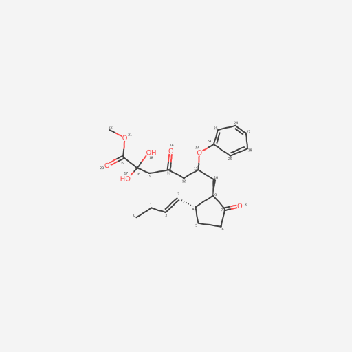 CC/C=C/[C@H]1CCC(=O)[C@@H]1CC(CC(=O)CC(O)(O)C(=O)OC)Oc1ccccc1